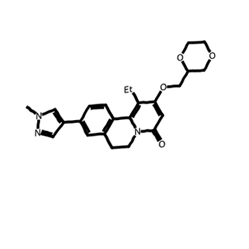 CCc1c(OCC2COCCO2)cc(=O)n2c1-c1ccc(-c3cnn(C)c3)cc1CC2